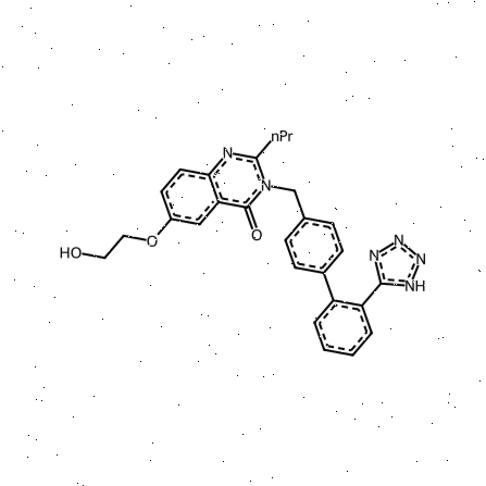 CCCc1nc2ccc(OCCO)cc2c(=O)n1Cc1ccc(-c2ccccc2-c2nnn[nH]2)cc1